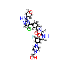 CC(NC(=O)C(C)N1Cc2ccc(-c3nc(NC4CCOCC4)ncc3Cl)cc2C1=O)c1cc(F)cc(N2CCN(CCO)CC2)c1